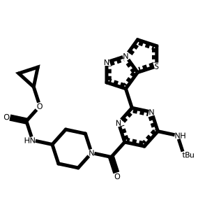 CC(C)(C)Nc1cc(C(=O)N2CCC(NC(=O)OC3CC3)CC2)nc(-c2cnn3ccsc23)n1